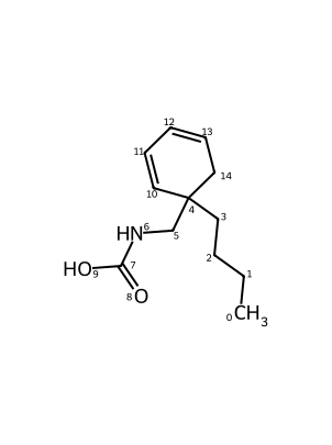 CCCCC1(CNC(=O)O)C=CC=CC1